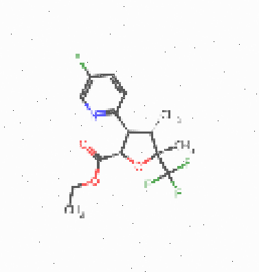 CCOC(=O)[C@@H]1O[C@@](C)(C(F)(F)F)[C@@H](C)[C@@H]1c1ccc(F)cn1